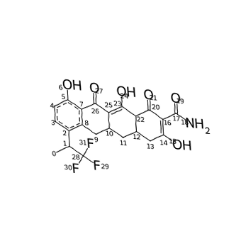 CC(c1ccc(O)c2c1CC1CC3CC(O)=C(C(N)=O)C(=O)C3C(O)=C1C2=O)C(F)(F)F